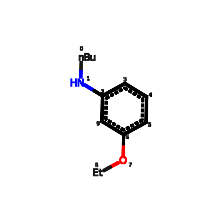 CCCCNc1cccc(OCC)c1